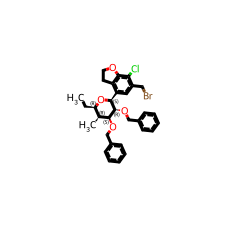 CC[C@H]1O[C@@H](c2cc(CBr)c(Cl)c3c2CCO3)[C@H](OCc2ccccc2)[C@@H](OCc2ccccc2)[C@@H]1C